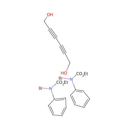 CCOC(=O)N(Br)c1ccccc1.CCOC(=O)N(Br)c1ccccc1.OCC#CC#CCO